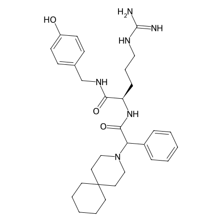 N=C(N)NCCC[C@@H](NC(=O)C(c1ccccc1)N1CCC2(CCCCC2)CC1)C(=O)NCc1ccc(O)cc1